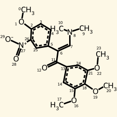 COc1ccc(/C(=C\N(C)C)C(=O)c2cc(OC)c(OC)c(OC)c2)cc1[N+](=O)[O-]